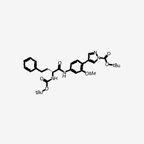 COc1cc(NC(=O)[C@@H](CCc2ccccc2)NC(=O)OC(C)(C)C)ccc1-c1cnn(C(=O)OC(C)(C)C)c1